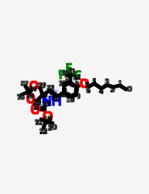 CCCCCCCOc1ccc(/C=C/C2(NC(=O)OC(C)(C)C)COC(C)(C)OC2)cc1C(F)(F)F